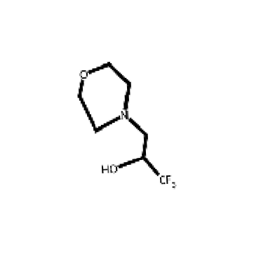 OC(CN1CCOCC1)C(F)(F)F